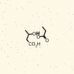 CC(O)CC(=O)O.CCC(=O)O